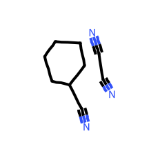 N#CC#N.N#CC1CCCCC1